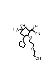 CC1(C)CC(=C(C#N)C#N)C(OCCOCCO)=C(N2CCCC2)C1